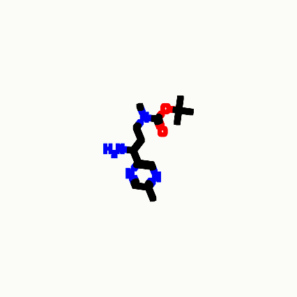 Cc1cnc(C(N)CCN(C)C(=O)OC(C)(C)C)cn1